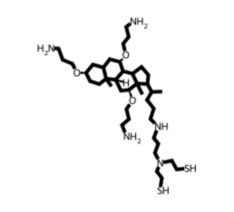 CC(CCCNCCCN(CCS)CCS)C1CCC2C3[C@H](OCCCN)CC4C[C@H](OCCCN)CCC4(C)[C@H]3C[C@H](OCCCN)C12C